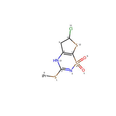 CC(C)SC1=NS(=O)(=O)C2=C(CC(Cl)S2)N1